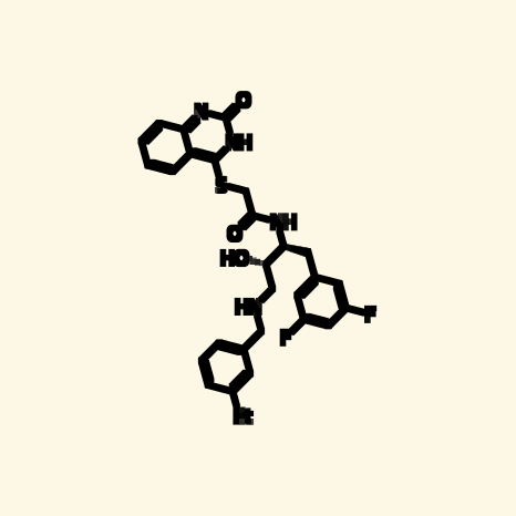 CCc1cccc(CNC[C@H](O)[C@H](Cc2cc(F)cc(F)c2)NC(=O)CSc2[nH]c(=O)nc3ccccc23)c1